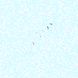 Cc1ccc2c(c1)CCC1C2CC[C@@]2(C)C1CC[C@@H]2OC(=O)COCP